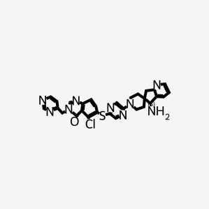 N[C@@H]1c2cccnc2CC12CCN(c1cnc(Sc3ccc4ncn(Cc5ccncn5)c(=O)c4c3Cl)cn1)CC2